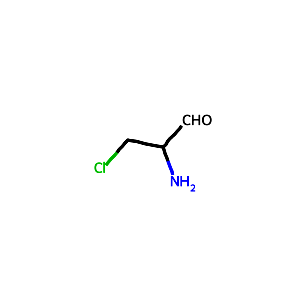 NC(C=O)CCl